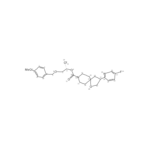 COc1ccc(COC[C@@H](OC(=O)N2CCC3(CC2)CC(c2ccc(F)cn2)CO3)C(F)(F)F)cc1